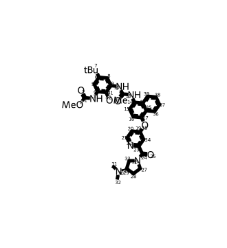 COC(=O)Nc1cc(C(C)(C)C)cc(NC(=O)Nc2ccc(Oc3ccnc(C(=O)N4CC[C@@H](N(C)C)C4)c3)c3ccccc23)c1OC